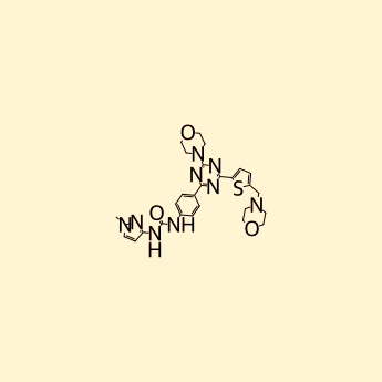 Cn1ccc(NC(=O)Nc2ccc(-c3nc(-c4ccc(CN5CCOCC5)s4)nc(N4CCOCC4)n3)cc2)n1